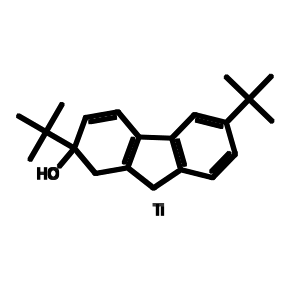 CC(C)(C)c1ccc2c(c1)C1=C(C2)CC(O)(C(C)(C)C)C=C1.[Ti]